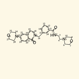 O=C(NCCN1CCOCC1)c1cccc(Cn2ccc3cc(N4CCOCC4)ccc3c2=O)c1